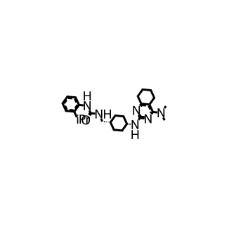 CC(C)c1ccccc1NC(=O)NC[C@H]1CC[C@@H](Nc2nc3c(c(N(C)C)n2)CCCC3)CC1